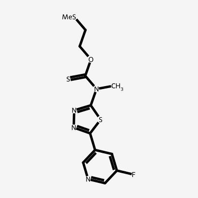 CSCCOC(=S)N(C)c1nnc(-c2cncc(F)c2)s1